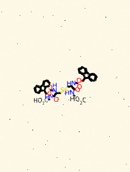 O=C(O)CNC(=O)C(CSSCC(NC(=O)OCC1c2ccccc2-c2ccccc21)C(=O)NCC(=O)O)NC(=O)OCC1c2ccccc2-c2ccccc21